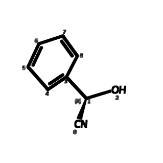 N#C[C@H](O)c1ccccc1